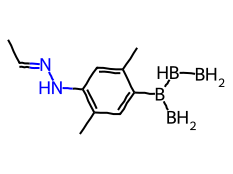 BBB(B)c1cc(C)c(NN=CC)cc1C